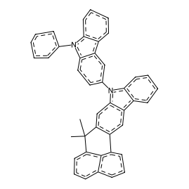 CC1(C)c2cc3c(cc2-c2cccc4cccc1c24)c1ccccc1n3-c1ccc2c(c1)c1ccccc1n2-c1ccccc1